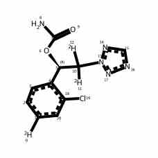 [2H]c1ccc([C@@H](OC(N)=O)C([2H])([2H])n2ncnn2)c(Cl)c1